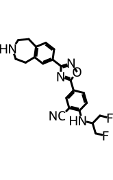 N#Cc1cc(-c2nc(-c3ccc4c(c3)CCNCC4)no2)ccc1NC(CF)CF